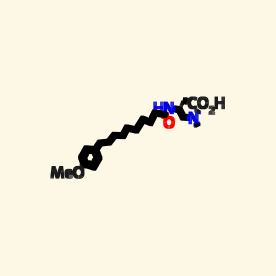 COc1ccc(CCCCCCCCCC(=O)N[C@H](CC(=O)O)CN(C)C)cc1